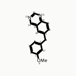 COc1cccc(Cc2ccc3ncncc3c2)c1